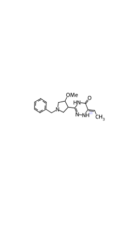 C/C=C1\NN=C(C2CN(Cc3ccccc3)CC2OC)NC1=O